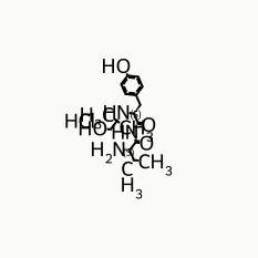 CC(C)[C@H](N)C(=O)NC(=O)[C@H](Cc1ccc(O)cc1)NC(C)(C)CO.Cl